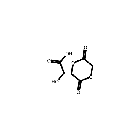 O=C(O)CO.O=C1COC(=O)CO1